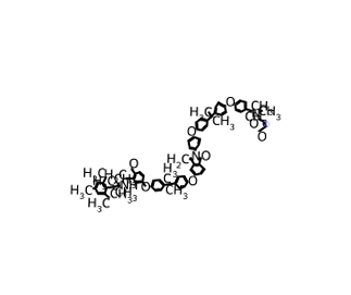 C=C(NC(C)(C)C(C)(C)c1c(CC)cc(C)cc1CC)c1cc(Oc2ccc(C(C)(C)c3ccc(Oc4ccc5c(c4)C(=C)N(c4ccc(Oc6ccc(C(C)(C)c7ccc(Oc8ccc(C(C)(C)N(C)C(=O)/C=C\C=O)cc8)cc7)cc6)cc4)C5=O)cc3)cc2)ccc1C=O